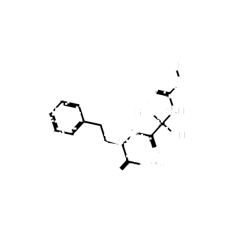 COC(=O)[C@@H](CCc1ccccc1)NC(=O)C(C)(C)NC(=O)OC(C)(C)C